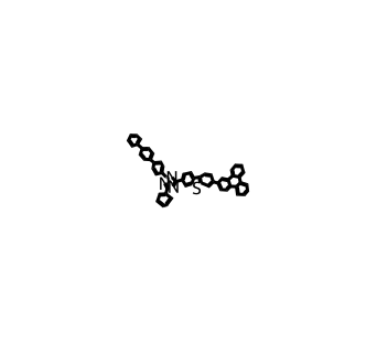 c1ccc(-c2ccc(-c3ccc(-c4nc(-c5ccccc5)nc(-c5ccc6c(c5)sc5cc(-c7ccc8c9ccccc9c9ccccc9c8c7)ccc56)n4)cc3)cc2)cc1